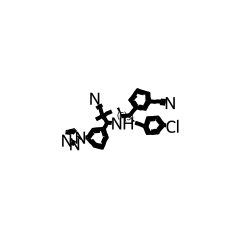 C[C@H](NC(c1cccc(-n2ccnn2)c1)C(C)(C)C#N)[C@@H](Cc1ccc(Cl)cc1)c1cccc(C#N)c1